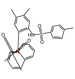 Cc1ccc(S(=O)(=O)Nc2cc(C)c(C)cc2N2C(=O)CC3=CC=CC4=CC=CCC43C2=O)cc1